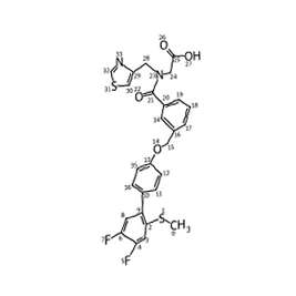 CSc1cc(F)c(F)cc1-c1ccc(OCc2cccc(C(=O)N(CC(=O)O)Cc3cscn3)c2)cc1